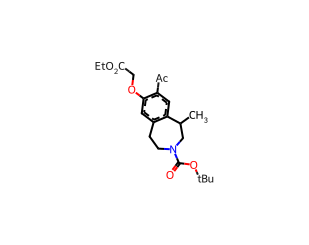 CCOC(=O)COc1cc2c(cc1C(C)=O)C(C)CN(C(=O)OC(C)(C)C)CC2